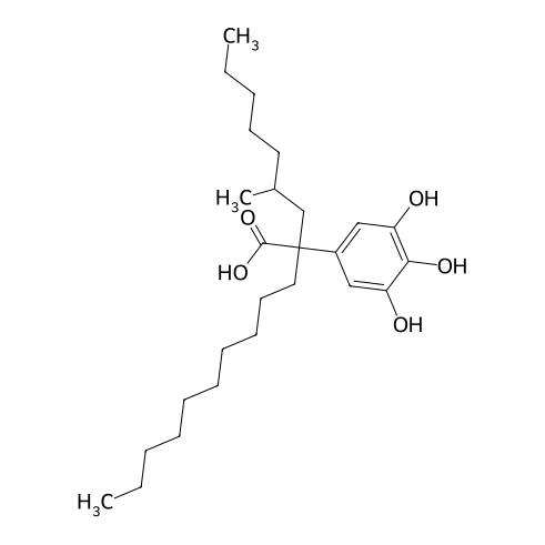 CCCCCCCCCCC(CC(C)CCCCC)(C(=O)O)c1cc(O)c(O)c(O)c1